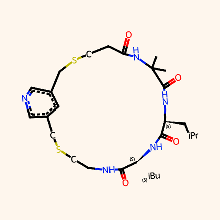 CC[C@H](C)[C@@H]1NC(=O)[C@H](CC(C)C)NC(=O)C(C)(C)NC(=O)CCSCc2cncc(c2)CSCCNC1=O